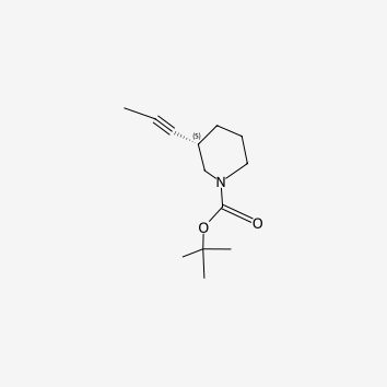 CC#C[C@@H]1CCCN(C(=O)OC(C)(C)C)C1